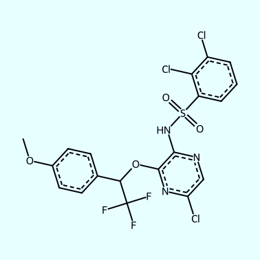 COc1ccc(C(Oc2nc(Cl)cnc2NS(=O)(=O)c2cccc(Cl)c2Cl)C(F)(F)F)cc1